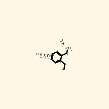 CCc1ccccc1CN.[Al+3].[H-].[H-].[H-].[H-].[Li+]